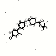 CC1CC(=O)NN=C1c1ccc(OC2CCN(C(=O)OC(C)(C)C)CC2)cc1